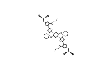 CCCOc1cc(C=C(C#N)C#N)sc1-c1nc2c(s1)-c1cc3c(cc1OC21CCCCC1)-c1sc(-c2sc(C=C(C#N)C#N)cc2OCCC)nc1C1(CCCCC1)O3